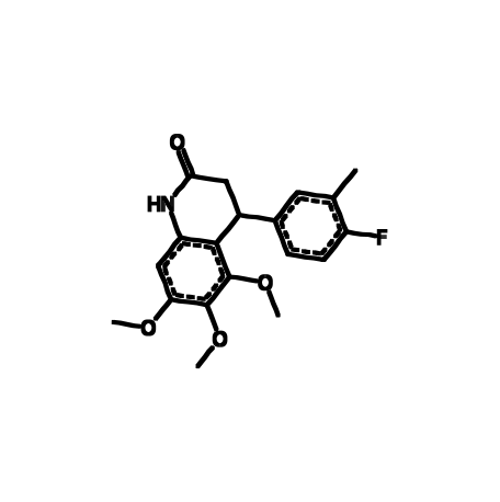 COc1cc2c(c(OC)c1OC)C(c1ccc(F)c(C)c1)CC(=O)N2